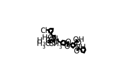 CC(C)(C)OC(=O)N(CCc1ccc(S(=O)(=O)c2ccc(NC(=O)c3ccccc3)c(C(=O)O)c2)cc1)C[C@H](O)c1cccc(Cl)c1